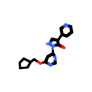 O=c1c(-c2cccnc2)c[nH]n1-c1cc(OCC2CCCC2)ncn1